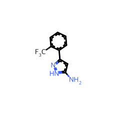 Nc1cc(-c2ccccc2C(F)(F)F)n[nH]1